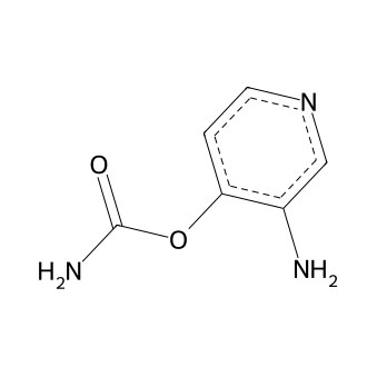 NC(=O)Oc1ccncc1N